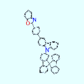 c1ccc2c(c1)-c1ccccc1C21c2ccccc2-c2ccc(-n3c4ccccc4c4cc(-c5ccc(-c6nc7ccccc7o6)cc5)ccc43)cc21